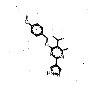 COc1ccc(COc2nc(-c3cn[nH]c3)nc(C)c2C(C)C)cc1